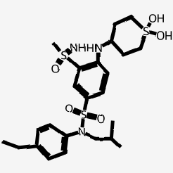 CCc1ccc(N(CC(C)C)S(=O)(=O)c2ccc(NC3CCS(O)(O)CC3)c(S(C)(=N)=O)c2)cc1